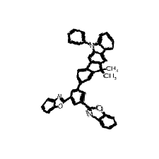 CC1(C)c2cc(-c3cc(-c4nc5ccccc5o4)cc(-c4nc5ccccc5o4)c3)ccc2-c2cc3c(cc21)c1ccccc1n3-c1ccccc1